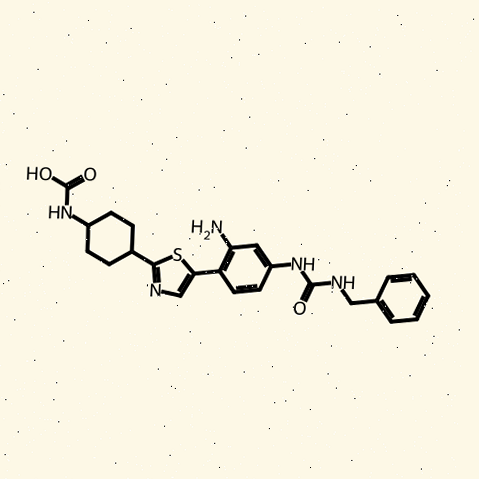 Nc1cc(NC(=O)NCc2ccccc2)ccc1-c1cnc(C2CCC(NC(=O)O)CC2)s1